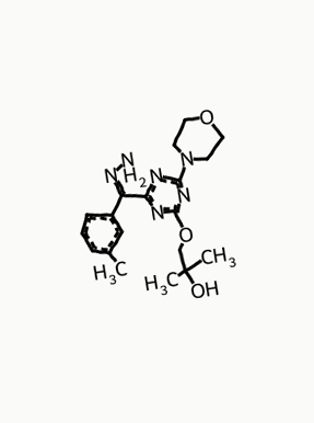 Cc1cccc(C(=NN)c2nc(OCC(C)(C)O)nc(N3CCOCC3)n2)c1